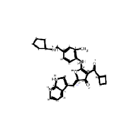 Cc1cc(CNC2CCCC2)ccc1NC1=C(C(=O)C2CCC2)C(=O)/C(=C/c2c[nH]c3ncccc23)O1